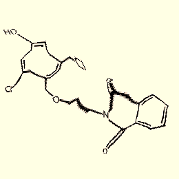 O=C1c2ccccc2C(=O)N1CCOc1c(Cl)cc(O)cc1Cl